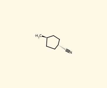 [CH2][C@H]1CC[C@H](C#N)CC1